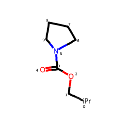 CC(C)COC(=O)N1CCCC1